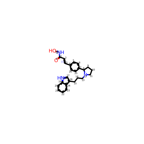 O=C(/C=C/c1ccc(C2CCCN2CCCc2c[nH]c3ccccc23)cc1)NO